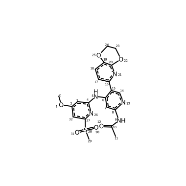 COc1cc(Nc2cc(NC(C)=O)ncc2-c2ccc3c(n2)OCCO3)nc(S(C)(=O)=O)c1